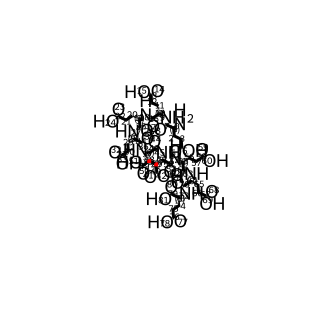 N[C@@H](CCC(=O)O)C(=O)N[C@@H](CCC(=O)O)C(=O)N[C@@H](CCC(=O)O)C(=O)N[C@@H](CCC(=O)O)C(=O)N[C@@H](CCC(=O)O)C(=O)N[C@@H](CCC(=O)O)C(=O)N[C@@H](CCC(=O)O)C(=O)N[C@@H](CCC(=O)O)C(=O)N[C@@H](CCC(=O)O)C(=O)O